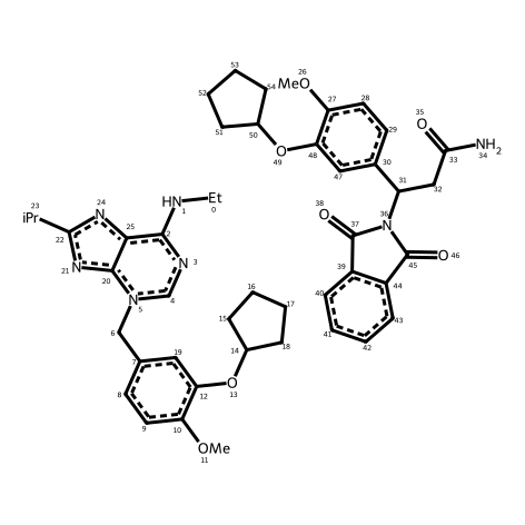 CCNc1ncn(Cc2ccc(OC)c(OC3CCCC3)c2)c2nc(C(C)C)nc1-2.COc1ccc(C(CC(N)=O)N2C(=O)c3ccccc3C2=O)cc1OC1CCCC1